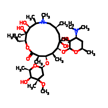 CC[C@H]1OC(=O)[C@H](C)[C@@H](O[C@@H]2C[C@@](C)(OC)[C@@H](O)[C@H](C)O2)[C@H](C)[C@@H](O[C@@H]2O[C@H](C)C[C@H](N(C)C)[C@H]2O)[C@](C)(O)C[C@@H](C)CN(C)[C@H](C)[C@@H](O)[C@]1(C)O